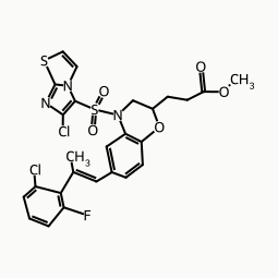 COC(=O)CCC1CN(S(=O)(=O)c2c(Cl)nc3sccn23)c2cc(C=C(C)c3c(F)cccc3Cl)ccc2O1